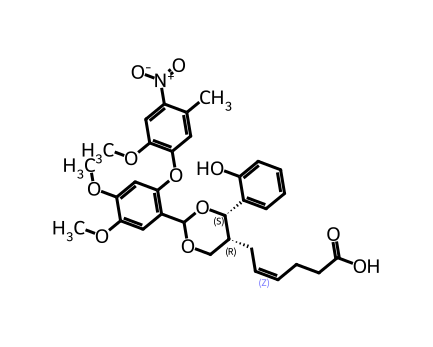 COc1cc(Oc2cc(C)c([N+](=O)[O-])cc2OC)c(C2OC[C@@H](C/C=C\CCC(=O)O)[C@@H](c3ccccc3O)O2)cc1OC